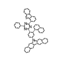 c1ccc(-c2nc(-c3ccc(-n4c5cc6ccccc6cc5c5cc6ccccc6cc54)cc3-c3cccc4ccccc34)nc(-c3cccc4c3sc3ccccc34)n2)cc1